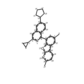 Cc1cc(-c2nc(C3CC3)cc3cc(C4CCCC4)ccc23)c2oc3nc(C)ccc3c2c1